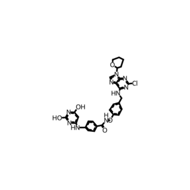 O=C(NOc1ccc(CNc2nc(Cl)nc3c2ncn3C2CCCCO2)cc1)c1ccc(Nc2cc(O)nc(O)n2)cc1